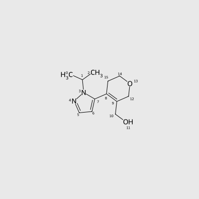 CC(C)n1nccc1C1=C(CO)COCC1